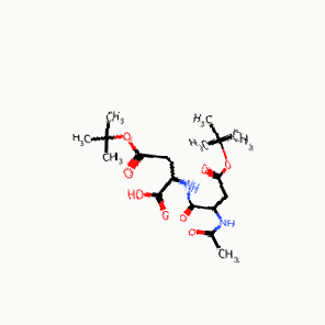 CC(=O)NC(CC(=O)OC(C)(C)C)C(=O)NC(CC(=O)OC(C)(C)C)C(=O)O